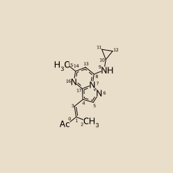 CC(=O)/C(C)=C/c1cnn2c(NC3CC3)cc(C)nc12